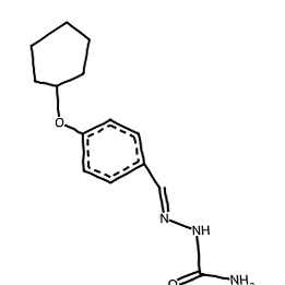 NC(=O)NN=Cc1ccc(OC2CCCCC2)cc1